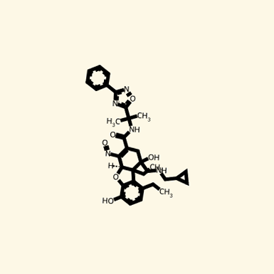 CCc1ccc(O)c2c1C1(CC)[C@@H](O2)C(N=O)=C(C(=O)NC(C)(C)c2nc(-c3ccccc3)no2)CC1(O)CNCC1CC1